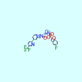 O=C(NCc1cccc(-c2ccc(C(F)(F)F)cn2)c1)[C@@H]1CCCN1S(=O)(=O)c1cc2cc(F)ccc2o1